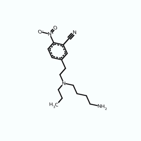 CCCN(CCCCN)CCc1ccc([N+](=O)[O-])c(C#N)c1